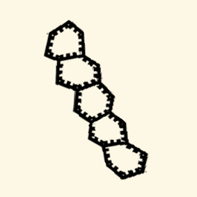 [c]1ccc2cc3cc4cc5c[c]ccc5cc4cc3cc2c1